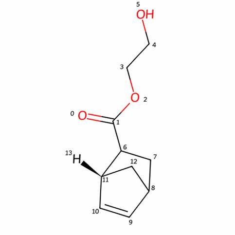 O=C(OCCO)C1CC2C=C[C@H]1C2